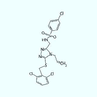 C=CCn1c(CNS(=O)(=O)c2ccc(Cl)cc2)nnc1SCc1c(Cl)cccc1Cl